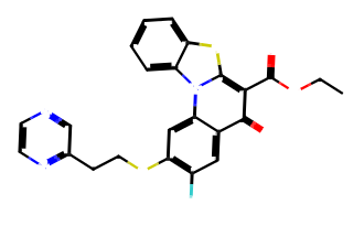 CCOC(=O)c1c(=O)c2cc(F)c(SCCc3cnccn3)cc2n2c1sc1ccccc12